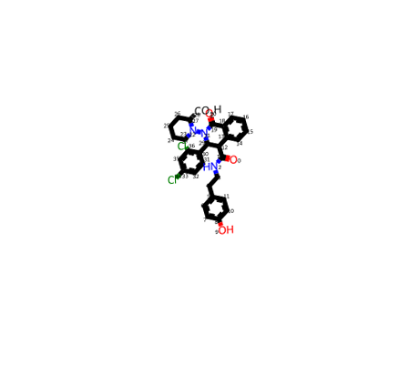 O=C(NCCc1ccc(O)cc1)C1c2ccccc2C(=O)N(N2CCCCC2C(=O)O)C1c1ccc(Cl)cc1Cl